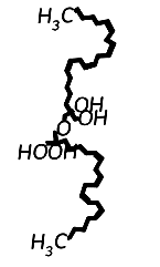 CCCCC/C=C\C/C=C\C/C=C\C/C=C\CCCCC(O)(CO)COCC(O)(CO)CCCC/C=C\C/C=C\C/C=C\C/C=C\CCCCC